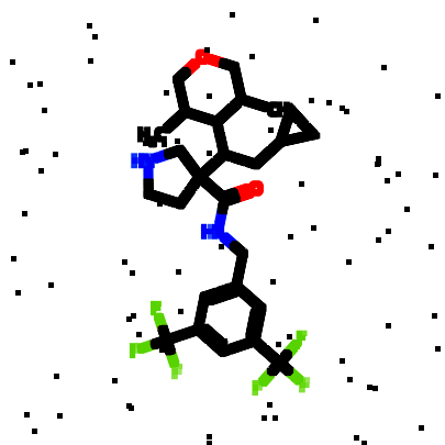 CC1COCC(C)C1C(CC1CC1)C1(C(=O)NCc2cc(C(F)(F)F)cc(C(F)(F)F)c2)CCNC1